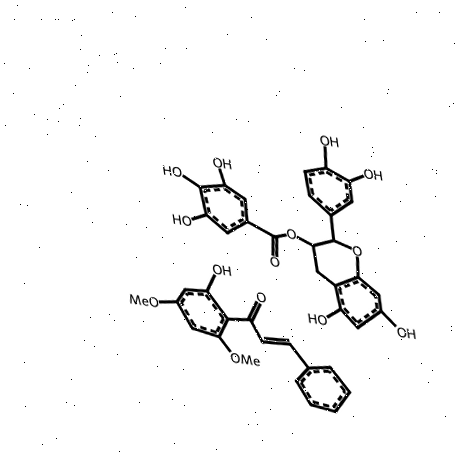 COc1cc(O)c(C(=O)C=Cc2ccccc2)c(OC)c1.O=C(OC1Cc2c(O)cc(O)cc2OC1c1ccc(O)c(O)c1)c1cc(O)c(O)c(O)c1